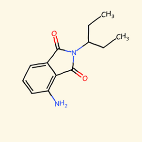 CCC(CC)N1C(=O)c2cccc(N)c2C1=O